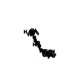 CC(C)(C)OC(=O)NCCOCCOCCC(=O)Nc1cccc(Cc2ccc(C3O[C@@H]4C[C@H]5[C@@H]6C[C@H](F)C7=CC(=O)C=C[C@]7(C)[C@@]6(F)[C@@H](O)C[C@]5(C)[C@]4(C(=O)CO)O3)cc2)c1